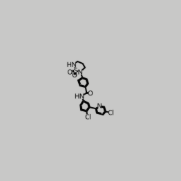 O=C(Nc1ccc(Cl)c(-c2ccc(Cl)cn2)c1)c1ccc(N2CCCNS2(=O)=O)cc1